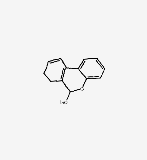 OC1Oc2ccccc2C2=C1CCC=C2